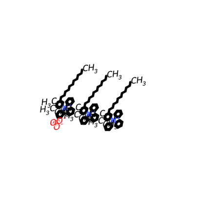 CCCCCCCCCCCCc1cc([N+](c2ccccc2)(c2ccccc2)c2ccccc2)c(C)c(C)c1C.CCCCCCCCCCCCc1cc([N+](c2ccccc2)(c2ccccc2)c2ccccc2)c(C)c(C)c1C.CCCCCCCCCCCCc1cc([N+](c2ccccc2)(c2ccccc2)c2ccccc2)c(C)c(C)c1C.[O-]B([O-])[O-]